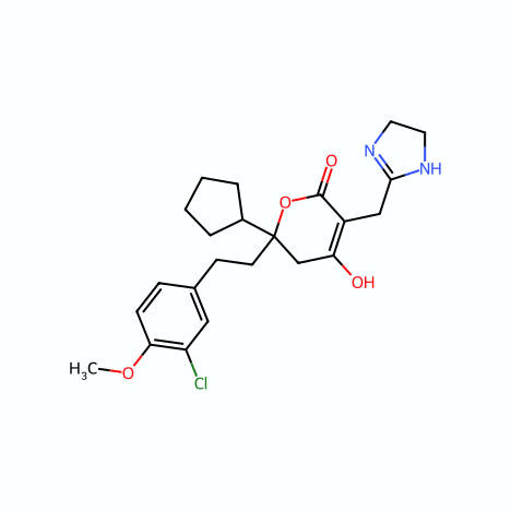 COc1ccc(CCC2(C3CCCC3)CC(O)=C(CC3=NCCN3)C(=O)O2)cc1Cl